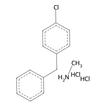 CN.Cl.Cl.Clc1ccc(Cc2ccccc2)cc1